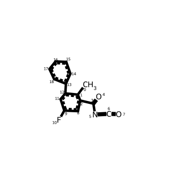 Cc1c(C(=O)N=C=O)cc(F)cc1-c1ccccc1